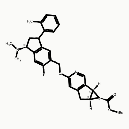 CN(C)[C@H]1CC(c2ccccc2C(F)(F)F)c2cc(COc3cc4c(cn3)[C@H]3[C@@H](C4)[C@@H]3C(=O)OC(C)(C)C)c(F)cc21